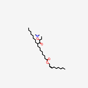 CCCCCC/C=C\COC(=O)CCCCCCCC(CCCCCCCC)C(=O)C(CC)ON(C)C